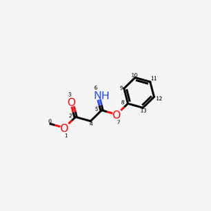 COC(=O)CC(=N)Oc1ccccc1